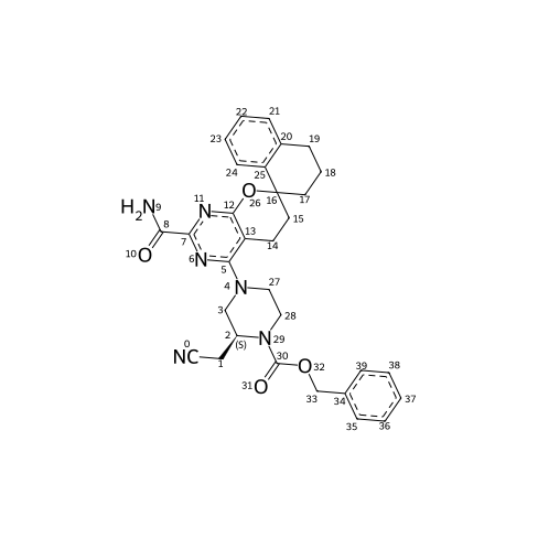 N#CC[C@H]1CN(c2nc(C(N)=O)nc3c2CCC2(CCCc4ccccc42)O3)CCN1C(=O)OCc1ccccc1